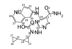 NC(=O)c1cnc(NN(C(=O)O)C2CC2C2CC2)nc1Nc1ccc2ncccc2c1